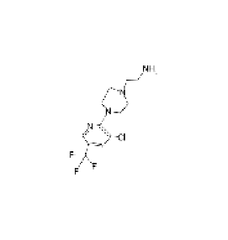 NCCN1CCN(c2ncc(C(F)(F)F)cc2Cl)CC1